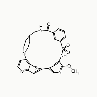 COc1ncc2cc1NS(=O)(=O)c1cccc(c1)C(=O)NCC1CCN(CC1)c1ccnc3cc-2sc13